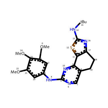 COc1cc(Nc2ncc3c(n2)-c2sc(NC(C)(C)C)nc2CC3)cc(OC)c1OC